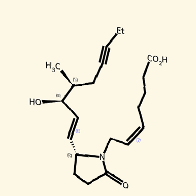 CCC#CC[C@H](C)[C@H](O)/C=C/[C@H]1CCC(=O)N1C/C=C\CCCC(=O)O